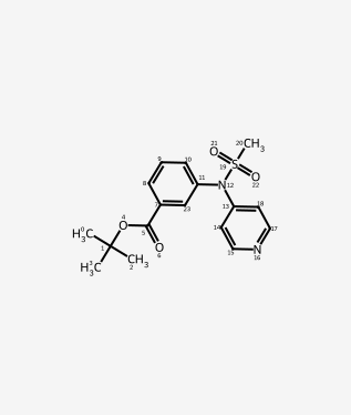 CC(C)(C)OC(=O)c1cccc(N(c2ccncc2)S(C)(=O)=O)c1